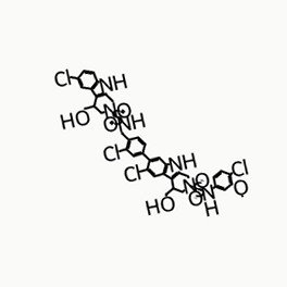 COc1cc(NS(=O)(=O)N2Cc3[nH]c4cc(-c5ccc(CNS(=O)(=O)N6Cc7[nH]c8ccc(Cl)cc8c7C(CO)C6)c(Cl)c5)c(Cl)cc4c3C(CO)C2)ccc1Cl